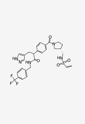 C=CS(=O)(=O)NC[C@H]1CCN(C(=O)c2ccc(C(Cc3cn[nH]c3)C(=O)NCc3ccc(C(F)(F)F)cc3)cc2)C1